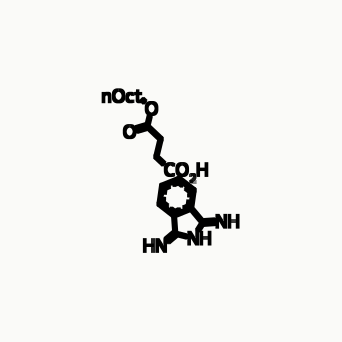 CCCCCCCCOC(=O)CCC(=O)O.N=C1NC(=N)c2ccccc21